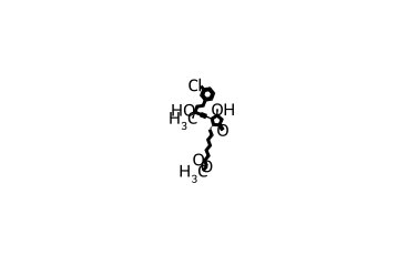 COC(=O)CCCCCC[C@H]1C(=O)C[C@H](O)[C@@H]1C#C[C@](C)(O)CCc1cccc(Cl)c1